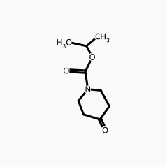 CC(C)OC(=O)N1CCC(=O)CC1